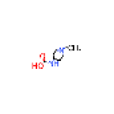 CCN1CCC(NC(=O)O)CC1